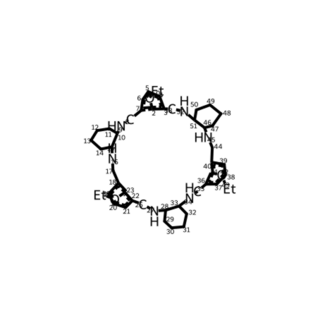 CCOc1c2cccc1CNC1CCCCC1NCc1cccc(c1OCC)CNC1CCCCC1NCc1cccc(c1OCC)CNC1CCCCC1NC2